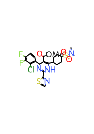 COC(=O)C1=C(C2CCC(S(=O)(=O)N(C)C)CC2)NC(c2nccs2)=NC1c1ccc(F)c(F)c1Cl